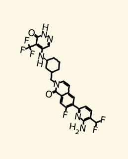 Nc1nc(-c2cc3ccn(CC4CCC[C@H](Nc5cn[nH]c(=O)c5C(F)(F)F)C4)c(=O)c3cc2F)ccc1C(F)F